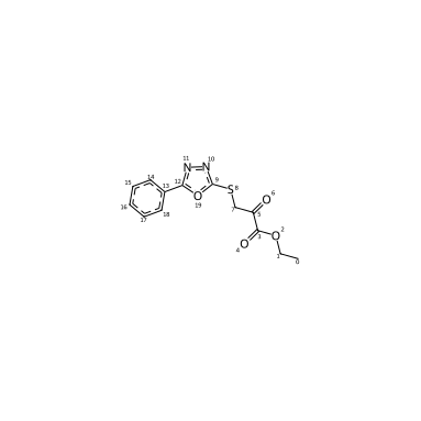 CCOC(=O)C(=O)CSc1nnc(-c2ccccc2)o1